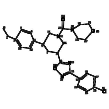 CCc1ccc(C2CC(c3nc(-c4ccc(Cl)cc4)no3)CN(C(=O)N3CCOCC3)C2)cc1